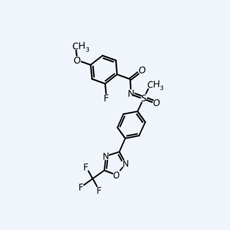 COc1ccc(C(=O)N=S(C)(=O)c2ccc(-c3noc(C(F)(F)F)n3)cc2)c(F)c1